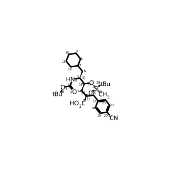 CC(C)(C)OC(=O)N[C@@H](CC1CCCCC1)[C@H](C[C@@H](Cc1ccc(C#N)cc1)C(=O)O)O[Si](C)(C)C(C)(C)C